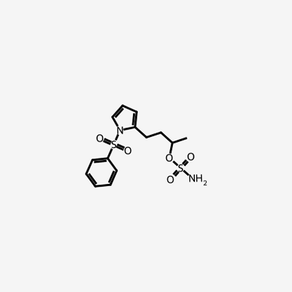 CC(CCc1cccn1S(=O)(=O)c1ccccc1)OS(N)(=O)=O